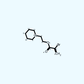 C=C(Br)C(=O)OCCN1CCCCC1